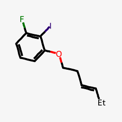 CCC=CCCOc1cccc(F)c1I